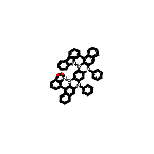 c1ccc(N2c3cc4c(cc3B3c5c2cc2ccccc2c5-c2cccc5c6ccccc6n3c25)B2c3c(cc5ccccc5c3-c3cccc5c6ccccc6n2c35)N4c2ccccc2)cc1